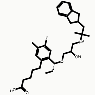 CC[C@@H](OCC(O)CNC(C)(C)CC1Cc2ccccc2C1)c1cc(F)c(C)cc1CCCCC(=O)O